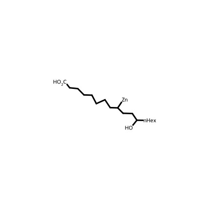 CCCCCCC(O)CC[CH]([Zn])CCCCCCCC(=O)O